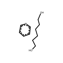 OCCCCCCO.c1ccncc1